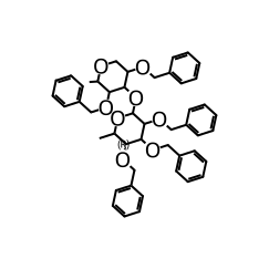 CC1OCC(OCc2ccccc2)C(OC2OC(C)[C@@H](OCc3ccccc3)C(OCc3ccccc3)C2OCc2ccccc2)C1OCc1ccccc1